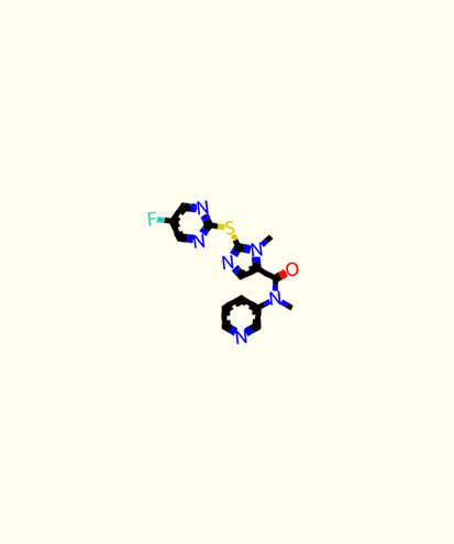 CN(C(=O)c1cnc(Sc2ncc(F)cn2)n1C)c1cccnc1